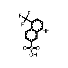 F.O=S(=O)(O)c1ccc2c(C(F)(F)F)cccc2c1